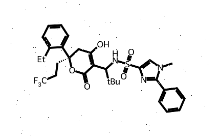 CCc1ccccc1[C@@]1(CCC(F)(F)F)CC(O)=C(C(NS(=O)(=O)c2cn(C)c(-c3ccccc3)n2)C(C)(C)C)C(=O)O1